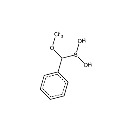 OB(O)C(OC(F)(F)F)c1ccccc1